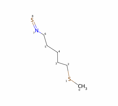 CSCCCCCN=S